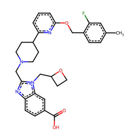 Cc1ccc(COc2cccc(C3CCN(Cc4nc5ccc(C(=O)O)cc5n4CC4CCO4)CC3)n2)c(F)c1